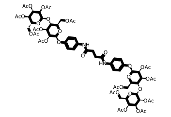 CC(=O)OC[C@H]1O[C@H](O[C@H]2[C@H](OC(C)=O)[C@@H](OC(C)=O)[C@H](Oc3ccc(NC(=O)CCC(=O)Nc4ccc(O[C@@H]5O[C@H](COC(C)=O)[C@@H](O[C@H]6O[C@H](COC(C)=O)[C@@H](OC(C)=O)[C@H](OC(C)=O)[C@H]6OC(C)=O)[C@H](OC(C)=O)[C@H]5OC(C)=O)cc4)cc3)O[C@@H]2COC(C)=O)[C@H](OC(C)=O)[C@@H](OC(C)=O)[C@@H]1OC(C)=O